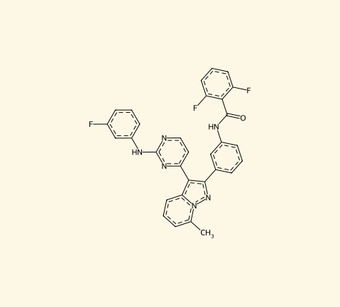 Cc1cccc2c(-c3ccnc(Nc4cccc(F)c4)n3)c(-c3cccc(NC(=O)c4c(F)cccc4F)c3)nn12